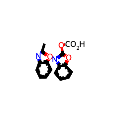 Cc1nc2ccccc2o1.O=C(O)Oc1nc2ccccc2o1